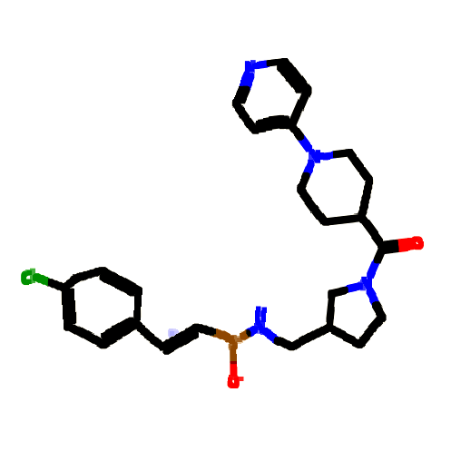 O=C(C1CCN(c2ccncc2)CC1)N1CCC(CN[S+]([O-])/C=C/c2ccc(Cl)cc2)C1